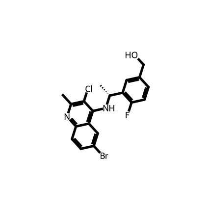 Cc1nc2ccc(Br)cc2c(N[C@H](C)c2cc(CO)ccc2F)c1Cl